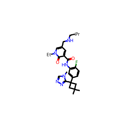 CCn1cc(CNCC(C)C)cc(C(=O)Nc2cc(C3(c4nncn4C)CC(C)(C)C3)ccc2F)c1=O